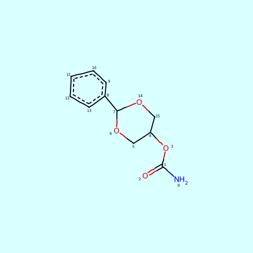 NC(=O)OC1COC(c2ccccc2)OC1